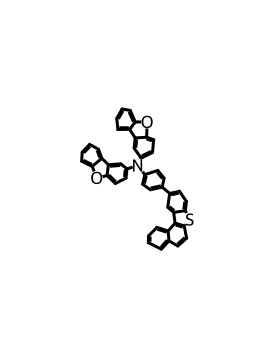 c1ccc2c(c1)ccc1sc3ccc(-c4ccc(N(c5ccc6oc7ccccc7c6c5)c5ccc6oc7ccccc7c6c5)cc4)cc3c12